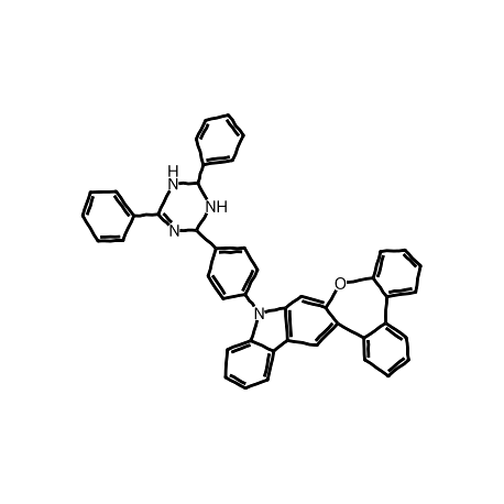 c1ccc(C2=NC(c3ccc(-n4c5ccccc5c5cc6c(cc54)Oc4ccccc4-c4ccccc4-6)cc3)NC(c3ccccc3)N2)cc1